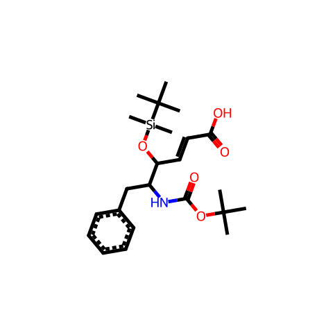 CC(C)(C)OC(=O)NC(Cc1ccccc1)C(C=CC(=O)O)O[Si](C)(C)C(C)(C)C